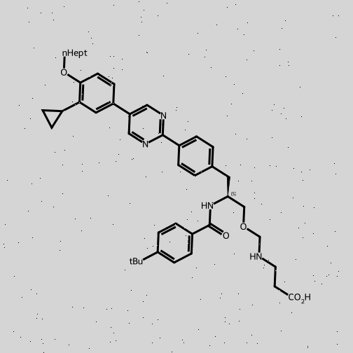 CCCCCCCOc1ccc(-c2cnc(-c3ccc(C[C@@H](COCNCCC(=O)O)NC(=O)c4ccc(C(C)(C)C)cc4)cc3)nc2)cc1C1CC1